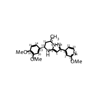 COc1cc(-c2cc3n(n2)[C@H](C)C[C@H](c2ccc(OC)c(OC)c2)N3)ccn1